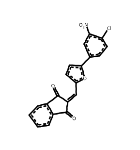 O=C1C(=Cc2ccc(-c3ccc(Cl)c([N+](=O)[O-])c3)o2)C(=O)c2ccccc21